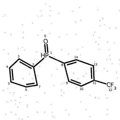 O=[PH](c1ccccc1)c1ccc(C(F)(F)F)cc1